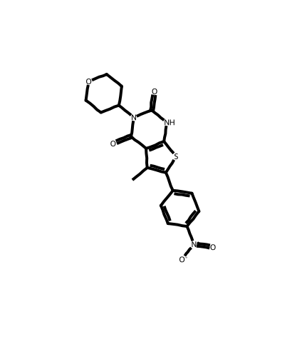 Cc1c(-c2ccc([N+](=O)[O-])cc2)sc2[nH]c(=O)n(C3CCOCC3)c(=O)c12